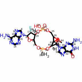 B[P@]1OCC2O[C@@H](n3cnc4c(N)ncnc43)[C@@H](F)[C@H]2OP(=O)(O)OCC2OC(n3cnc4c(=O)[nH]c(N)nc43)[C@@H](O1)[C@H]2OC